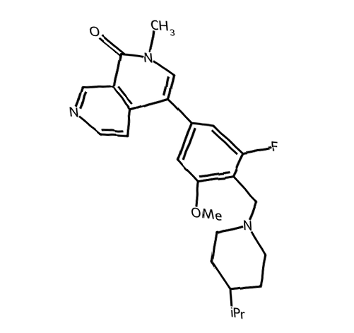 COc1cc(-c2cn(C)c(=O)c3cnccc23)cc(F)c1CN1CCC(C(C)C)CC1